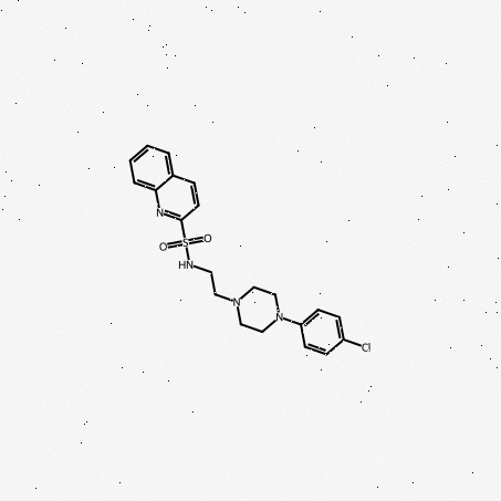 O=S(=O)(NCCN1CCN(c2ccc(Cl)cc2)CC1)c1ccc2ccccc2n1